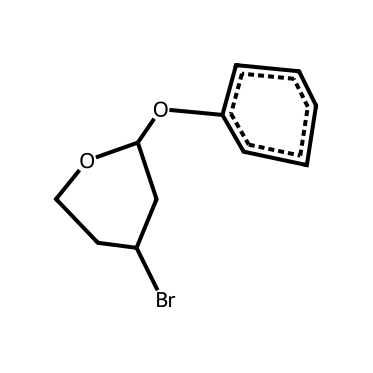 BrC1CCOC(Oc2ccccc2)C1